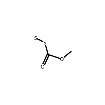 COC(=O)S[S]